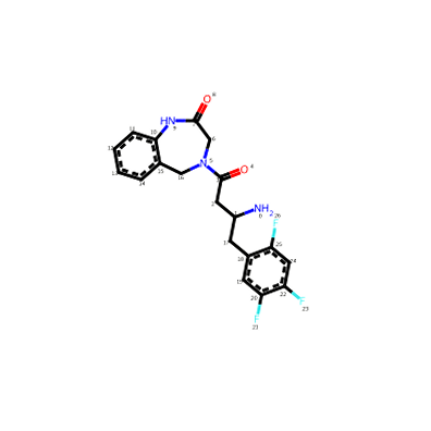 NC(CC(=O)N1CC(=O)Nc2ccccc2C1)Cc1cc(F)c(F)cc1F